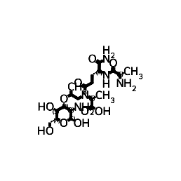 CC(CN(C(=O)CC[C@@H](NC(=O)[C@H](C)N)C(N)=O)[C@@H](C)C(=O)O)O[C@@H]1[C@@H](N)[C@@H](O)O[C@H](CO)[C@H]1O